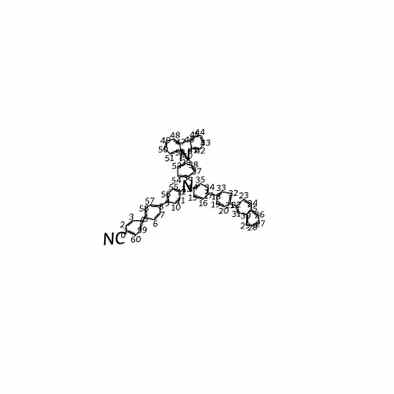 N#Cc1ccc(-c2ccc(-c3ccc(N(c4ccc(-c5ccc(-c6ccc7ccccc7c6)cc5)cc4)c4ccc(-n5c6ccccc6c6ccccc65)cc4)cc3)cc2)cc1